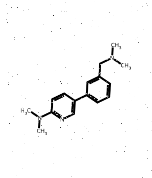 CN(C)Cc1cccc(-c2ccc(N(C)C)nc2)c1